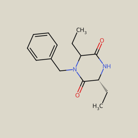 CCC1C(=O)N[C@H](CC)C(=O)N1Cc1ccccc1